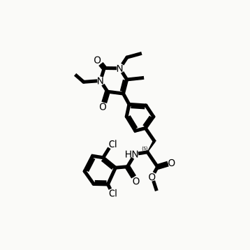 CCn1c(C)c(-c2ccc(C[C@H](NC(=O)c3c(Cl)cccc3Cl)C(=O)OC)cc2)c(=O)n(CC)c1=O